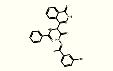 C/C(=N\NC(=O)C(NC(=O)c1ccccc1)c1n[nH]c(=O)c2ccccc12)c1cccc(O)c1